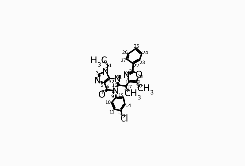 CCn1cnc2c(=O)n(-c3ccc(Cl)cc3)c(C(C)c3nc(-c4ccccc4)oc3C)nc21